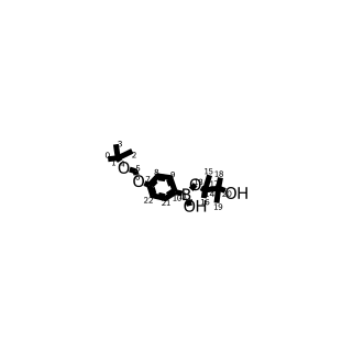 CC(C)(C)OCOc1ccc(B(O)OC(C)(C)C(C)(C)O)cc1